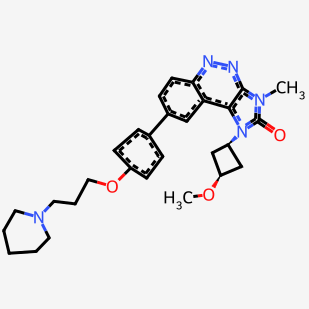 CO[C@H]1C[C@@H](n2c(=O)n(C)c3nnc4ccc(-c5ccc(OCCCN6CCCCC6)cc5)cc4c32)C1